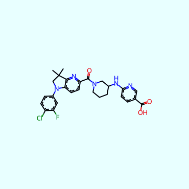 CC1(C)CN(c2ccc(Cl)c(F)c2)c2ccc(C(=O)N3CCCC(Nc4ccc(C(=O)O)cn4)C3)nc21